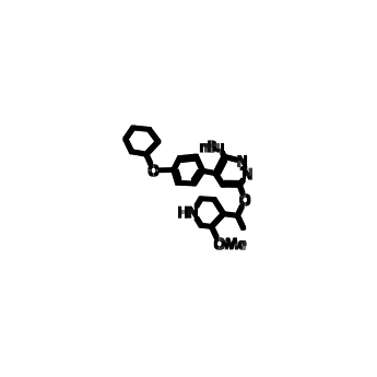 CCCCc1nnc(OC(C)C2CCNCC2OC)cc1-c1ccc(OC2CCCCC2)cc1